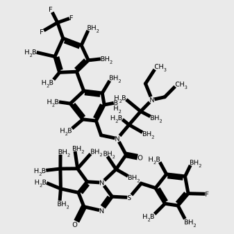 Bc1c(B)c(CSc2nc(=O)c3c(n2C(B)(B)C(=O)N(Cc2c(B)c(B)c(-c4c(B)c(B)c(C(F)(F)F)c(B)c4B)c(B)c2B)C(B)(B)C(B)(B)N(CC)CC)C(B)(B)C(B)(B)C3(B)B)c(B)c(B)c1F